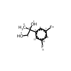 C[C@](O)(CO)c1cc(F)cc(F)c1